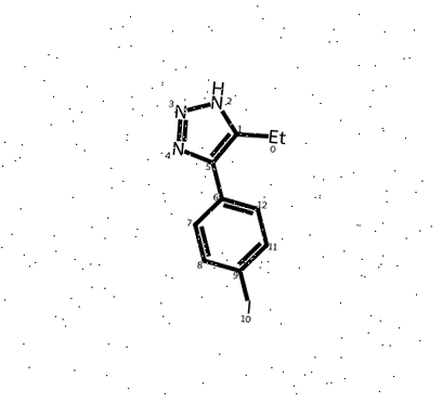 CCc1[nH]nnc1-c1ccc(I)cc1